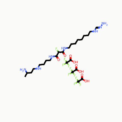 CC(N)CCNCCCCNC(=O)C(F)C(=O)NCCCCCCCCNC=NN.O=C(O)C(F)(F)F.O=C(O)C(F)(F)F.O=C(O)C(F)(F)F